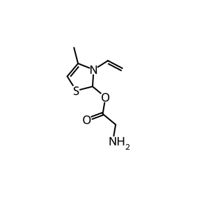 C=CN1C(C)=CSC1OC(=O)CN